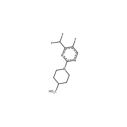 O=C(O)C1CCN(c2ncc(F)c(C(F)F)n2)CC1